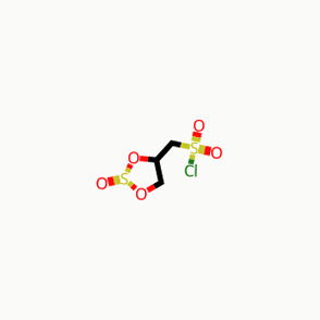 O=S1OCC(CS(=O)(=O)Cl)O1